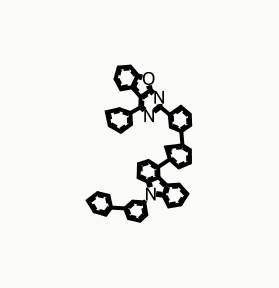 c1ccc(-c2cccc(-n3c4ccccc4c4c(-c5cccc(-c6cccc(-c7nc(-c8ccccc8)c8c(n7)oc7ccccc78)c6)c5)cccc43)c2)cc1